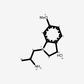 COc1ccc2c(c1)N(CC(C)N)CC2.Cl